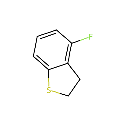 Fc1cccc2c1CCS2